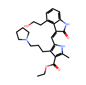 CCOC(=O)c1c(C)[nH]c(/C=C2\C(=O)Nc3cccc(CCO)c32)c1CCCN1CCCC1